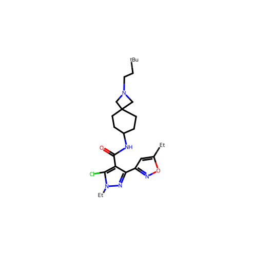 CCc1cc(-c2nn(CC)c(Cl)c2C(=O)NC2CCC3(CC2)CN(CCC(C)(C)C)C3)no1